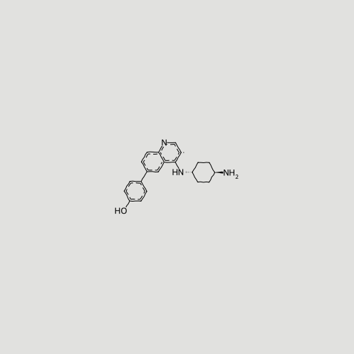 N[C@H]1CC[C@H](Nc2[c]cnc3ccc(-c4ccc(O)cc4)cc23)CC1